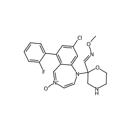 CON=CC1(N2C=C[N+]([O-])=Cc3c(-c4ccccc4F)cc(Cl)cc32)CNCCO1